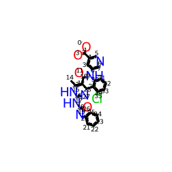 COC(=O)c1cncc(NC(=O)C2=C(C)NC(Nc3nc4ccccc4o3)=NC2c2ccccc2Cl)c1